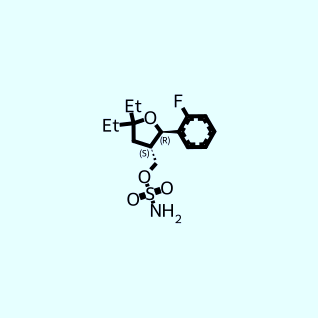 CCC1(CC)C[C@@H](COS(N)(=O)=O)[C@H](c2ccccc2F)O1